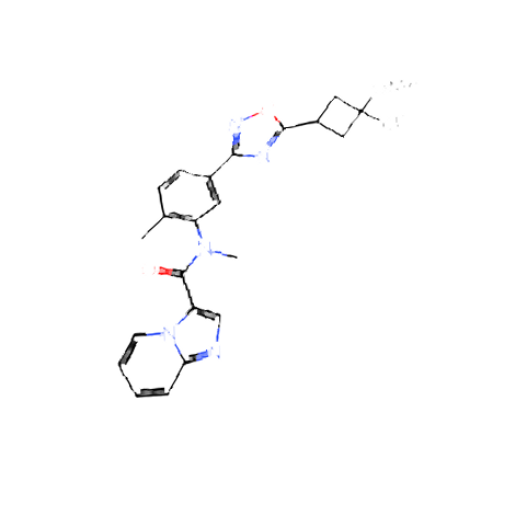 COC1(C(F)(F)F)CC(c2nc(-c3ccc(C)c(N(C)C(=O)c4cnc5ccccn45)c3)no2)C1